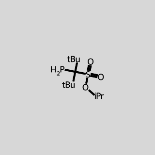 CC(C)OS(=O)(=O)C(P)(C(C)(C)C)C(C)(C)C